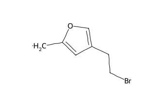 [CH2]c1cc(CCBr)co1